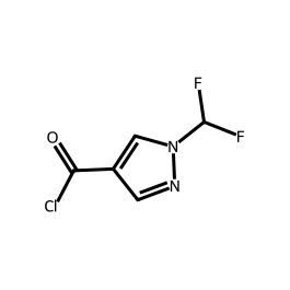 O=C(Cl)c1cnn(C(F)F)c1